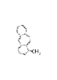 C=c1cccc2c1=CC=c1ccccc1=C2